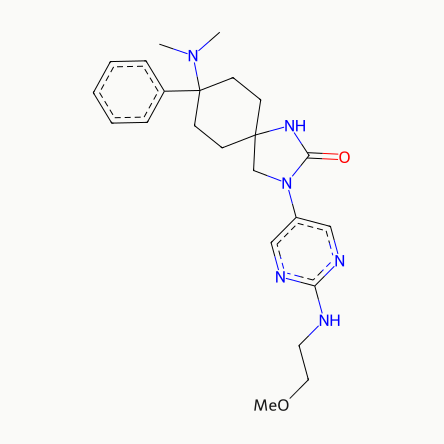 COCCNc1ncc(N2CC3(CCC(c4ccccc4)(N(C)C)CC3)NC2=O)cn1